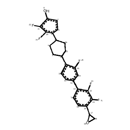 Oc1ccc(C2CCC(c3ccc(-c4ccc(C5CO5)c(F)c4F)cc3F)CC2)c(F)c1F